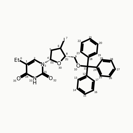 CCc1cn([C@@H]2CC(I)[C@H](COC(c3ccccc3)(c3ccccc3)c3ccccc3)O2)c(=O)[nH]c1=O